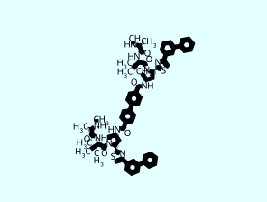 CN[C@@H](C)C(=O)N[C@H](C(=O)N1C[C@@H](NC(=O)c2ccc(-c3ccc(C(=O)N[C@H]4C[C@@H](c5nc(-c6cccc(-c7ccccc7)c6)cs5)N(C(=O)[C@@H](NC(=O)[C@H](C)NC)C(C)(C)C)C4)cc3)cc2)C[C@H]1c1nc(C2=CC(c3ccccc3)=CCC2)cs1)C(C)(C)C